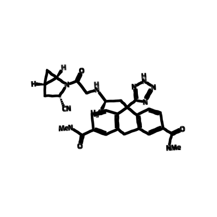 CNC(=O)c1ccc2c(c1)Cc1cc(C(=O)NC)ccc1C2(C[C@@H](C)NCC(=O)N1[C@H](C#N)C[C@@H]2C[C@@H]21)c1nn[nH]n1